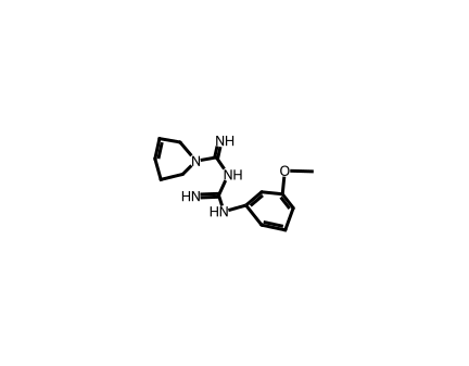 COc1cccc(NC(=N)NC(=N)N2CC=CCC2)c1